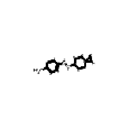 Cc1ccc(SOC2CCC3(CC2)CC3)cc1